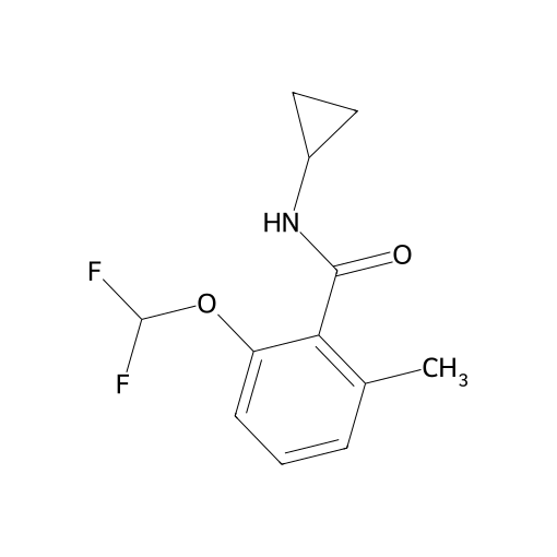 Cc1cccc(OC(F)F)c1C(=O)NC1CC1